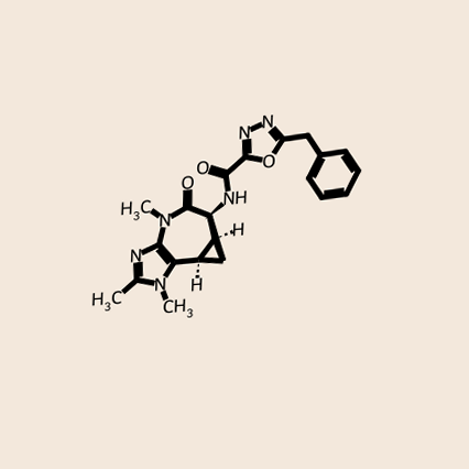 Cc1nc2c(n1C)[C@@H]1C3[C@@H]1[C@]3(NC(=O)c1nnc(Cc3ccccc3)o1)C(=O)N2C